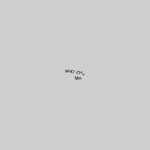 C.[Cr].[Mn].[Mo]